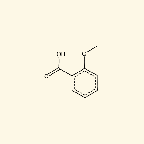 COc1[c]cccc1C(=O)O